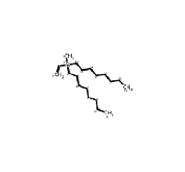 C=C[Si](C)(CCCCCCCC)CCCCCCCC